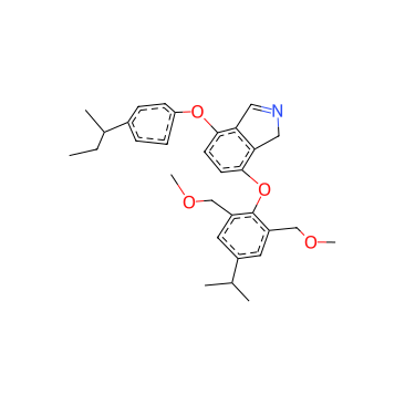 CCC(C)c1ccc(Oc2ccc(Oc3c(COC)cc(C(C)C)cc3COC)c3c2C=NC3)cc1